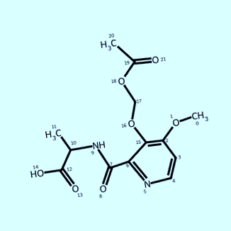 COc1ccnc(C(=O)NC(C)C(=O)O)c1OCOC(C)=O